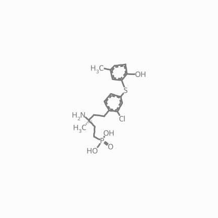 Cc1ccc(O)c(Sc2ccc(CC[C@](C)(N)CCP(=O)(O)O)c(Cl)c2)c1